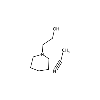 CC#N.OCCN1CCCCC1